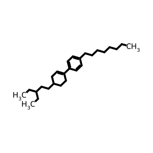 CCCCCCCCc1ccc(C2=CCC(CCC(CC)CC)CC2)cc1